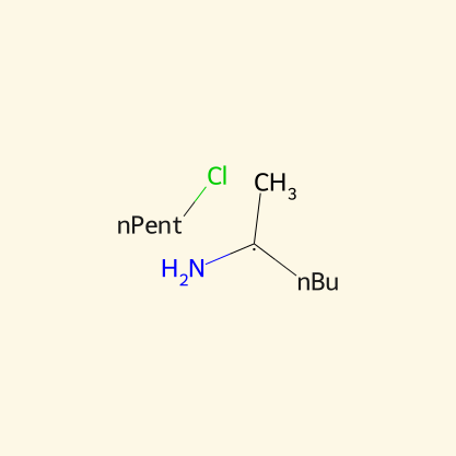 CCCCCCl.CCCC[C](C)N